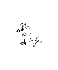 C[N+](C)(C)CCOP(=O)(O)O.Cl.[KH]